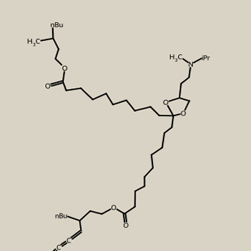 C=C=C=CC(CCCC)CCOC(=O)CCCCCCCCCC1(CCCCCCCCCC(=O)OCCC(C)CCCC)OCC(CCN(C)C(C)C)O1